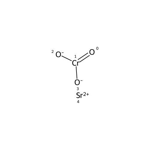 [O]=[Cr]([O-])[O-].[Sr+2]